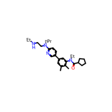 CCCN(CCNCC)c1ccc(-c2cc(C)c(C)c(N(CC)C(=O)C3CCCC3)c2)cn1